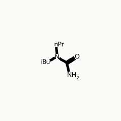 CCCN(C(N)=O)C(C)CC